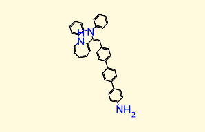 Nc1ccc(-c2ccc(-c3ccc(C=C(C4=CC=CC=CN4)N(c4ccccc4)c4ccccc4)cc3)cc2)cc1